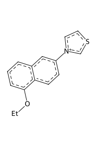 CCOc1cccc2cc(-[n+]3ccsc3)ccc12